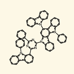 c1ccc(-c2nc(-c3cccc4c5ccccc5n(-c5ccccc5)c34)nc(-n3c4ccccc4c4c3cc(-n3c5ccccc5c5ccccc53)c3c5ccccc5n(-c5ccccc5)c34)n2)cc1